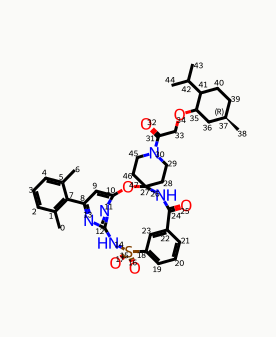 Cc1cccc(C)c1-c1cc2nc(n1)NS(=O)(=O)c1cccc(c1)C(=O)NC1(CCN(C(=O)COC3C[C@H](C)CCC3C(C)C)CC1)O2